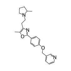 Cc1oc(-c2ccc(OCc3cccnc3)cc2)nc1CCN1CCCC1C